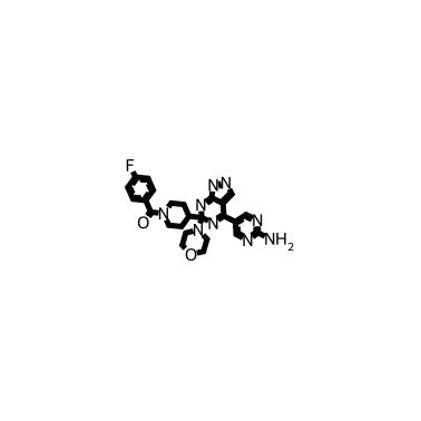 Nc1ncc(C2=NC(C3CCN(C(=O)c4ccc(F)cc4)CC3)(N3CCOCC3)N=C3N=NC=C32)cn1